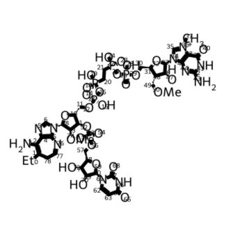 CCC1=C(N)c2ncn([C@@H]3O[C@H](COP(=O)(O)OP(=O)(O)CCP(=O)(O)OP(=O)(O)OC[C@H]4O[C@@H](n5c[n+](C)c6c(=O)[nH]c(N)nc65)[C@H](O)[C@@H]4COC)[C@@H](OP(=O)([O-])OC[C@H]4O[C@@H](n5ccc(=O)[nH]c5=O)[C@H](O)[C@@H]4O)[C@H]3OC)c2N=CC1